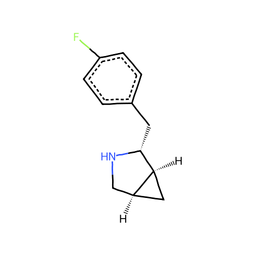 Fc1ccc(C[C@H]2NC[C@@H]3C[C@@H]32)cc1